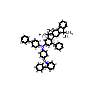 CC1(C)c2ccccc2-c2cc3c(cc21)-c1c(-c2ccccc2)cc(N(c2ccc(-c4ccccc4)cc2)c2ccc(-n4c5ccccc5c5ccccc54)cc2)cc1C3(C)C